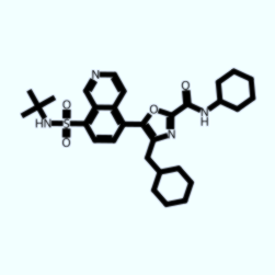 CC(C)(C)NS(=O)(=O)c1ccc(-c2oc(C(=O)NC3CCCCC3)nc2CC2CCCCC2)c2ccncc12